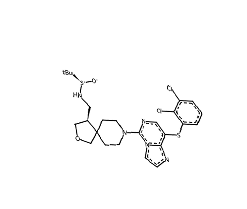 CC(C)(C)[S@@+]([O-])NC[C@@H]1COCC12CCN(c1ncc(Sc3cccc(Cl)c3Cl)c3nccn13)CC2